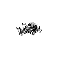 CC(C)c1nc2c(c(C3CCCC3)c1[C@@H](O)c1ccc(C(F)(F)F)cc1)[C@@H](O[Si](C)(C)C(C)(C)C)CC(C)(C)C2